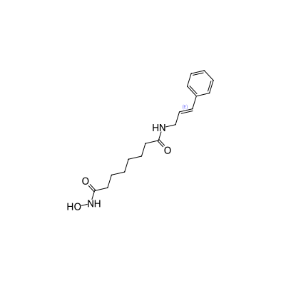 O=C(CCCCCCC(=O)NC/C=C/c1ccccc1)NO